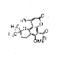 CCCc1cc(=O)oc2c(C(=O)CC)c(OC)c3c(c12)OC(C)(C)CC3